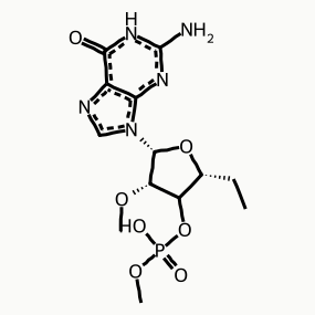 CC[C@H]1O[C@@H](n2cnc3c(=O)[nH]c(N)nc32)[C@@H](OC)C1OP(=O)(O)OC